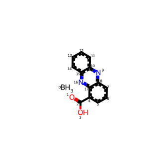 B.O=C(O)c1cccc2nc3ccccc3nc12